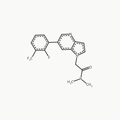 CN(C)C(=O)Cn1ccc2ncc(-c3cccc(C(F)(F)F)c3F)cc21